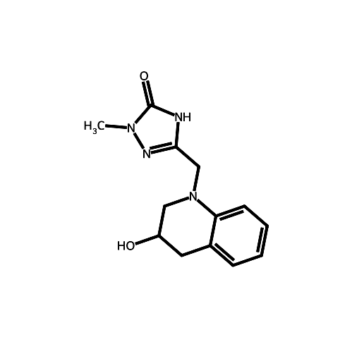 Cn1nc(CN2CC(O)Cc3ccccc32)[nH]c1=O